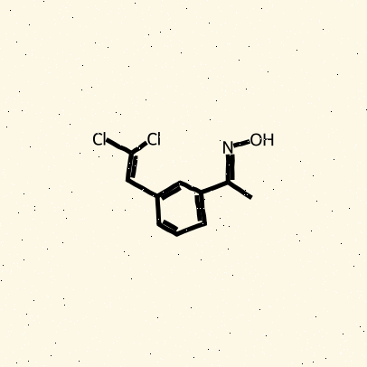 CC(=NO)c1cccc(C=C(Cl)Cl)c1